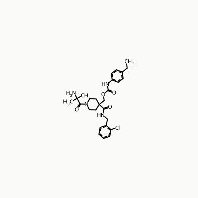 CCc1ccc(NC(=O)OCC2(C(=O)NCc3ccccc3Cl)CCN(C(=O)C(C)(C)N)CC2)cc1